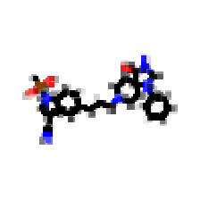 CS(=O)(=O)n1cc(C#N)c2cc(CCCN3CCC4(CC3)C(=O)NCN4c3ccccc3)ccc21